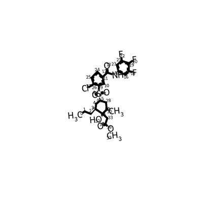 CCC[C@H]1C[C@H](S(=O)(=O)c2cc(C(=O)Nc3cc(F)c(F)c(F)c3)ccc2Cl)C[C@@H](C)[C@]1(O)CC(=O)OC